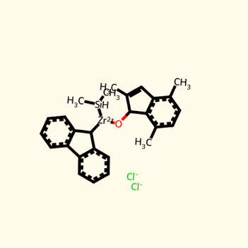 CC1=Cc2c(C)ccc(C)c2C1[O][Zr+2]([CH]1c2ccccc2-c2ccccc21)[SiH](C)C.[Cl-].[Cl-]